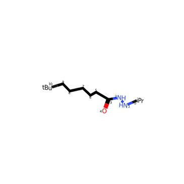 CC(C)NNC(=O)CCCCCC(C)(C)C